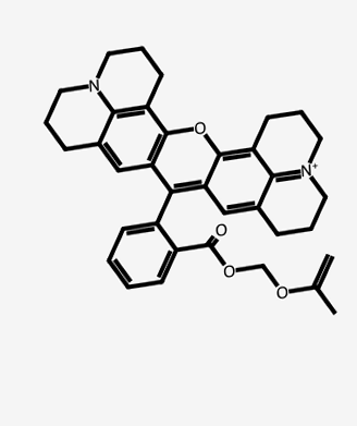 C=C(C)OCOC(=O)c1ccccc1C1=c2cc3c4c(c2Oc2c1cc1c5c2CCCN5CCC1)CCC[N+]=4CCC3